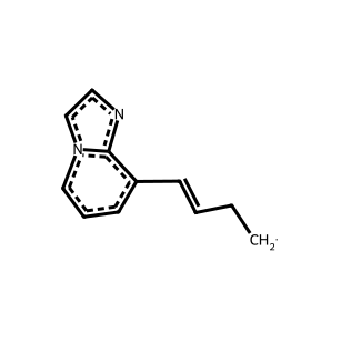 [CH2]CC=Cc1cccn2ccnc12